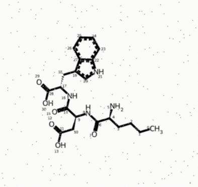 CCCC[C@H](N)C(=O)N[C@@H](CC(=O)O)C(=O)N[C@@H](Cc1c[nH]c2ccccc12)C(=O)O